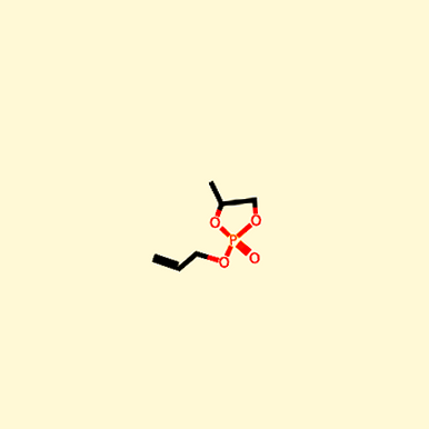 C=CCOP1(=O)OCC(C)O1